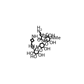 CN[C@@H]1[C@@H](O)[C@@H](O[C@H]2[C@H](NC(=O)[C@@H](O)CCN)C[C@H](N)C(O[C@H]3O[C@H](CNCC4CC(N)C4)[C@@H](O)[C@H](O)[C@H]3O)[C@@H]2O)OC[C@]1(C)O